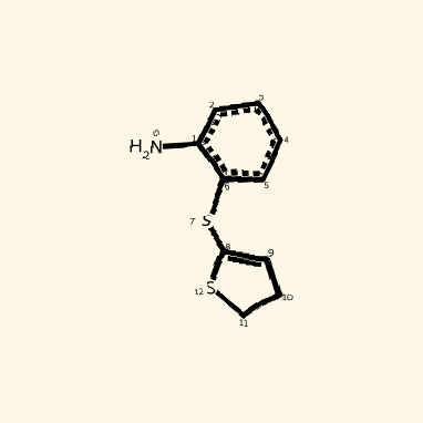 Nc1ccccc1SC1=CCCS1